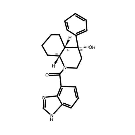 O=C(c1cccc2[nH]cnc12)N1CC[C@](O)(c2ccccc2)[C@H]2CCCC[C@H]21